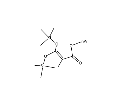 CCCOC(=O)C(C)=C(O[Si](C)(C)C)O[Si](C)(C)C